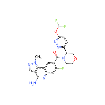 Cn1ncc2c(N)nc3cc(F)c(C(=O)N4CCOC[C@@H]4c4ccc(OC(F)F)nn4)cc3c21